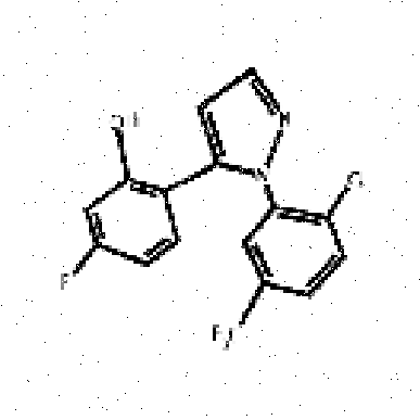 Oc1cc(F)ccc1-c1ccnn1-c1cc(C(F)(F)F)ccc1Cl